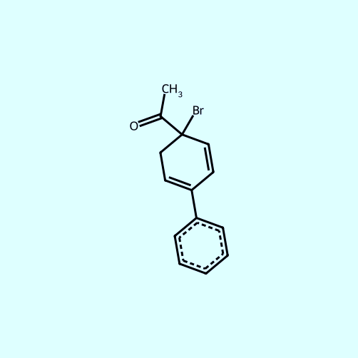 CC(=O)C1(Br)C=CC(c2ccccc2)=CC1